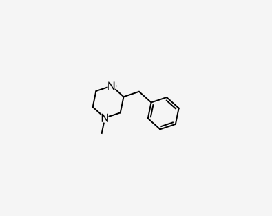 CN1CC[N]C(Cc2ccccc2)C1